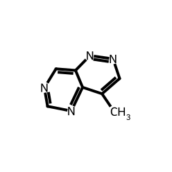 Cc1cnnc2cncnc12